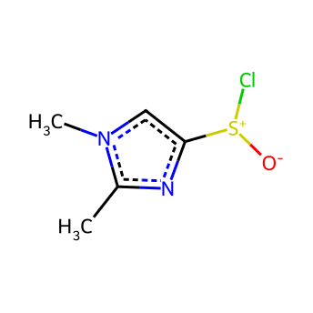 Cc1nc([S+]([O-])Cl)cn1C